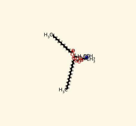 CCCCCCCCCCC/C=C/C=C/C(=O)OC[C@H](COP(=O)([O-])OCC[N+](C)(C)C)OC(=O)/C=C/C=C/CCCCCCCCCCCCC